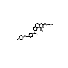 COCCOC(=O)CC1CCc2ccc(C(=O)c3ccc(C=NN4CCN(C)CC4)cc3)cc2C1N